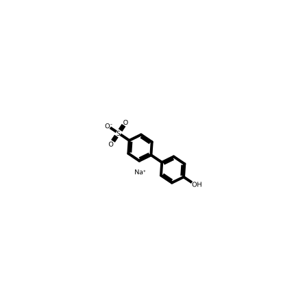 O=S(=O)([O-])c1ccc(-c2ccc(O)cc2)cc1.[Na+]